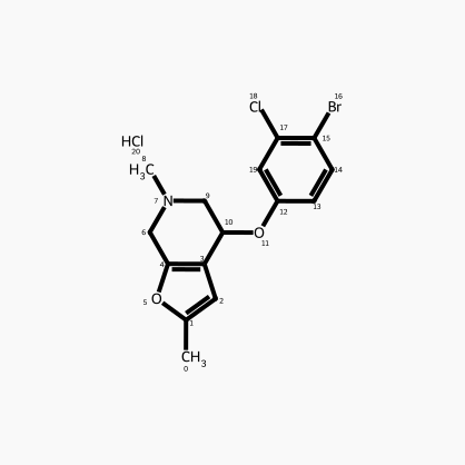 Cc1cc2c(o1)CN(C)CC2Oc1ccc(Br)c(Cl)c1.Cl